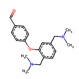 CN(C)Cc1ccc(CN(C)C)c(Oc2ccc(C=O)cc2)c1